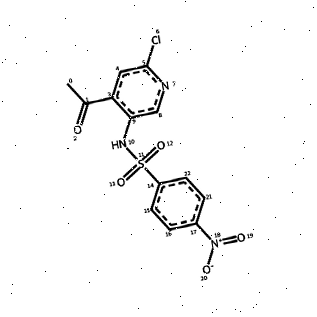 CC(=O)c1cc(Cl)ncc1NS(=O)(=O)c1ccc([N+](=O)[O-])cc1